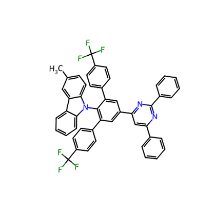 Cc1ccc2c(c1)c1ccccc1n2-c1c(-c2ccc(C(F)(F)F)cc2)cc(-c2cc(-c3ccccc3)nc(-c3ccccc3)n2)cc1-c1ccc(C(F)(F)F)cc1